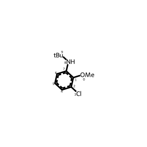 COc1c(Cl)cccc1NC(C)(C)C